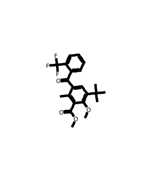 COC(=O)c1c(C)c(C(=O)c2ccccc2C(F)(F)F)cc(C(C)(C)C)c1OC